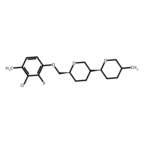 Cc1ccc(OC[C@@H]2CCC([C@@H]3CCC(C)CO3)CO2)c(F)c1Cl